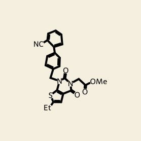 CCc1cc2c(=O)n(CC(=O)OC)c(=O)n(Cc3ccc(-c4ccccc4C#N)cc3)c2s1